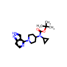 CC(C)(C)OC(=O)N(C1CC1)C1CCN(c2nccc3n[nH]cc23)CC1